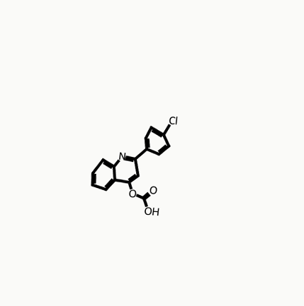 O=C(O)Oc1cc(-c2ccc(Cl)cc2)nc2ccccc12